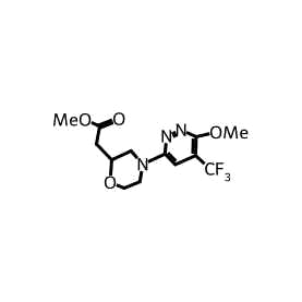 COC(=O)CC1CN(c2cc(C(F)(F)F)c(OC)nn2)CCO1